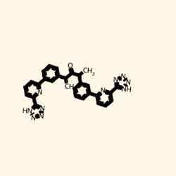 CC(C(=O)C(C)c1cccc(-c2cccc(-c3nnn[nH]3)n2)c1)c1cccc(-c2cccc(-c3nnn[nH]3)n2)c1